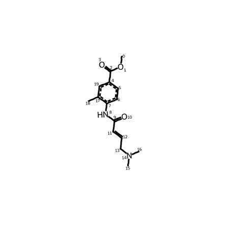 COC(=O)c1ccc(NC(=O)/C=C/CN(C)C)c(C)c1